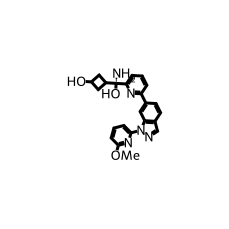 COc1cccc(-n2ncc3ccc(-c4cccc([C@@](N)(O)C5CC(O)C5)n4)cc32)n1